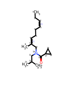 CC/C=C\CC/C=C(/C)CN(CC(C)C)C(=O)C1CC1